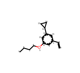 C=[C]c1cc(OCCCC)cc(C2CC2)c1